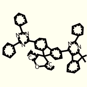 CC1(C)c2ccccc2-c2c(-c3ccc4c(c3)-c3ccc(-c5nc(-c6ccccc6)nc(-c6ccccc6)n5)cc3C43c4ccccc4Oc4ccccc43)nc(-c3ccccc3)nc21